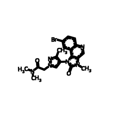 Cc1nn(CC(=O)N(C)C)cc1-n1c(=O)n(C)c2cnc3ccc(Br)cc3c21